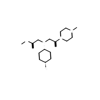 COC(=O)CN(CC(=O)N1CCN(C)CC1)[C@H]1CC[C@H](N)CC1